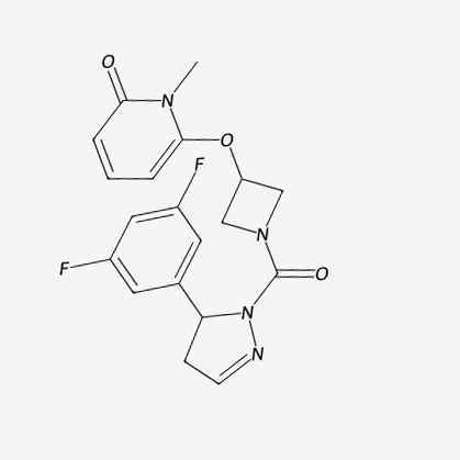 Cn1c(OC2CN(C(=O)N3N=CCC3c3cc(F)cc(F)c3)C2)cccc1=O